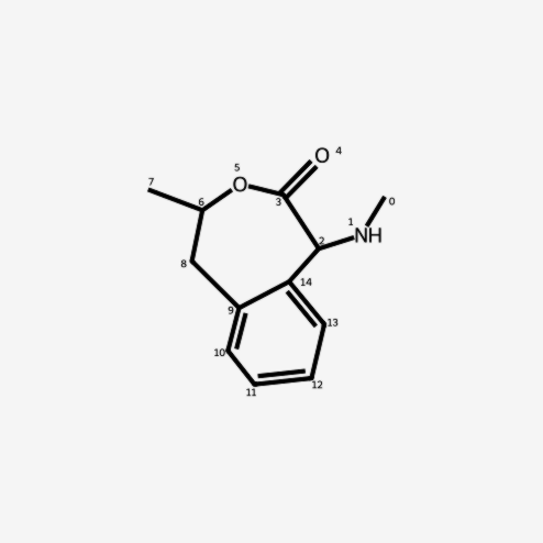 CNC1C(=O)OC(C)Cc2ccccc21